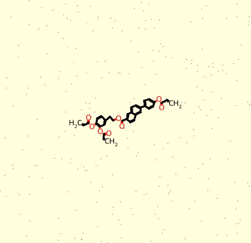 C=CC(=O)Oc1ccc(-c2ccc3cc(C(=O)OCCc4ccc(OC(=O)C=C)c(OC(=O)C=C)c4)ccc3c2)cc1